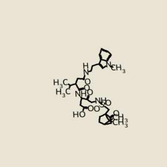 CC(C)C(CC(=O)NCCc1cn(C)c2ccccc12)C(=O)NC(CC(=O)O)C(=O)CNS(=O)(=O)CC12CCC(CC1=O)C2(C)C